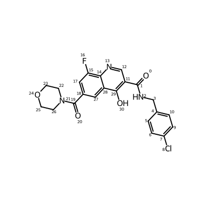 O=C(NCc1ccc(Cl)cc1)c1cnc2c(F)cc(C(=O)N3CCOCC3)cc2c1O